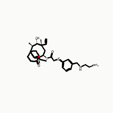 C=C[C@]1(C)C[C@@H](OC(=O)CSc2cccc(CNCCN)c2)[C@]2(C)C(C)CC34CC(CCC3=O)(C42)[C@@H](C)[C@@H]1O